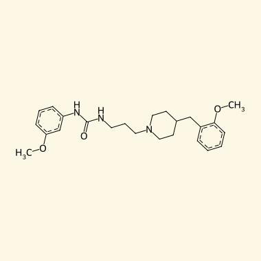 COc1cccc(NC(=O)NCCCN2CCC(Cc3ccccc3OC)CC2)c1